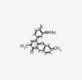 CC(=O)Nc1cc(-n2nc(C)c(=O)n(Cc3ccc(C)cc3)c2=O)ccc1F